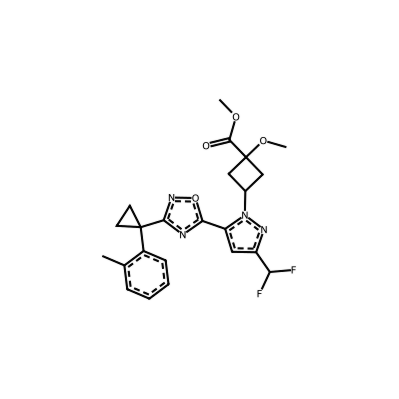 COC(=O)C1(OC)CC(n2nc(C(F)F)cc2-c2nc(C3(c4ccccc4C)CC3)no2)C1